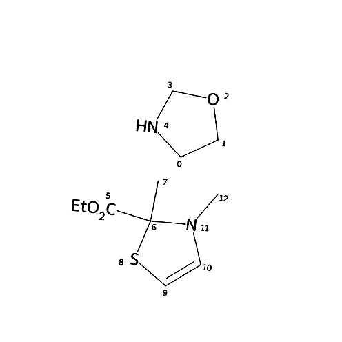 C1COCN1.CCOC(=O)C1(C)SC=CN1C